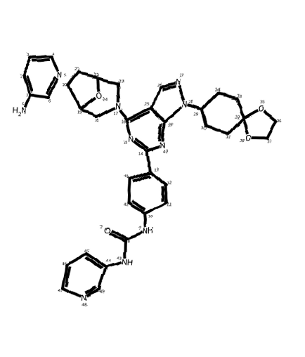 Nc1cccnc1.O=C(Nc1ccc(-c2nc(N3CC4CCC(C3)O4)c3cnn(C4CCC5(CC4)OCCO5)c3n2)cc1)Nc1cccnc1